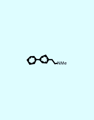 CNCCc1ccc(-c2ccccc2)cc1